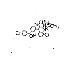 CSc1nnc(-c2c(C)nc3ccc(C(O)c4ccc(Cl)cc4)cc3c2-c2cccc(Cl)c2)n1C